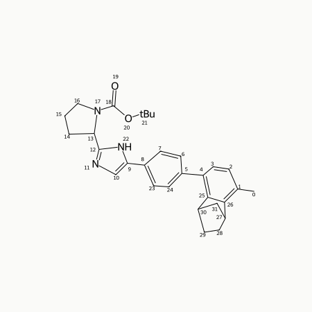 Cc1ccc(-c2ccc(-c3cnc(C4CCCN4C(=O)OC(C)(C)C)[nH]3)cc2)c2c1C1CCC2C1